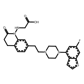 O=C(O)CNN1C(=O)CCc2ccc(CCN3CCN(c4cc(F)cc5sccc45)CC3)cc21